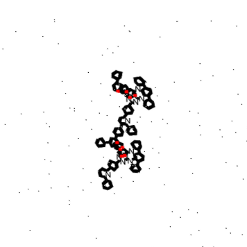 C1=Cc2c(n(-c3cccc(-c4cccc(-c5ccccc5)c4)c3)c3c2ccc2c4ccccc4n(-c4nc(-c5ccccc5)nc(-c5ccc(-c6ccc(-c7ccc(-c8cc(-c9ccccc9)cc(-c9cccc(-n%10c%11ccccc%11c%11ccc%12c%13ccccc%13n(-c%13nc(-c%14ccccc%14)nc(-c%14ccc(-c%15cccc(-c%16ccccc%16)n%15)cc%14)n%13)c%12c%11%10)c9)c8)cc7)c(-c7ccccc7)n6)cc5)n4)c23)CC1